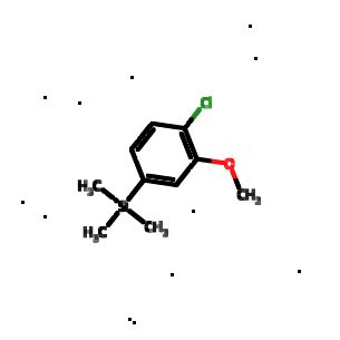 COc1cc([Si](C)(C)C)ccc1Cl